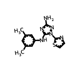 Cc1cc(C)cc(Nc2nc(N)nn2-c2nccs2)c1